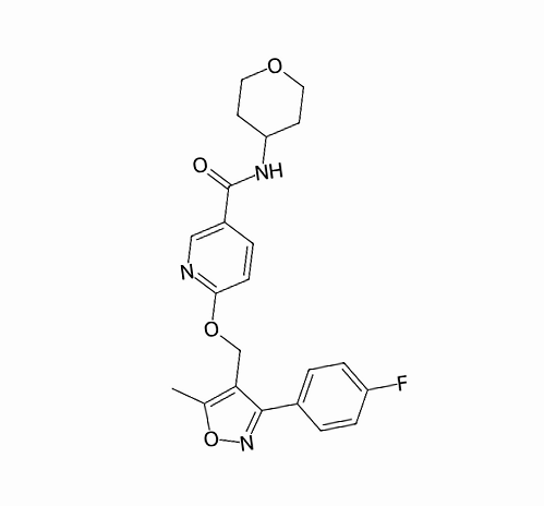 Cc1onc(-c2ccc(F)cc2)c1COc1ccc(C(=O)NC2CCOCC2)cn1